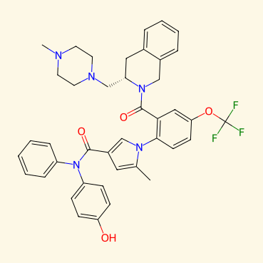 Cc1cc(C(=O)N(c2ccccc2)c2ccc(O)cc2)cn1-c1ccc(OC(F)(F)F)cc1C(=O)N1Cc2ccccc2C[C@H]1CN1CCN(C)CC1